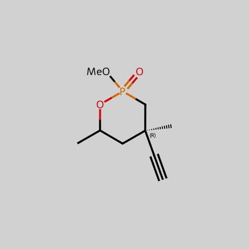 C#C[C@@]1(C)CC(C)OP(=O)(OC)C1